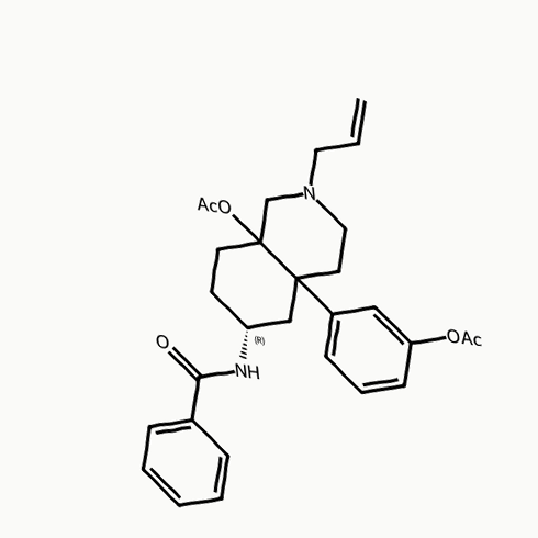 C=CCN1CCC2(c3cccc(OC(C)=O)c3)C[C@H](NC(=O)c3ccccc3)CCC2(OC(C)=O)C1